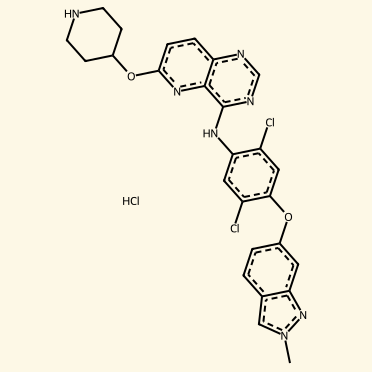 Cl.Cn1cc2ccc(Oc3cc(Cl)c(Nc4ncnc5ccc(OC6CCNCC6)nc45)cc3Cl)cc2n1